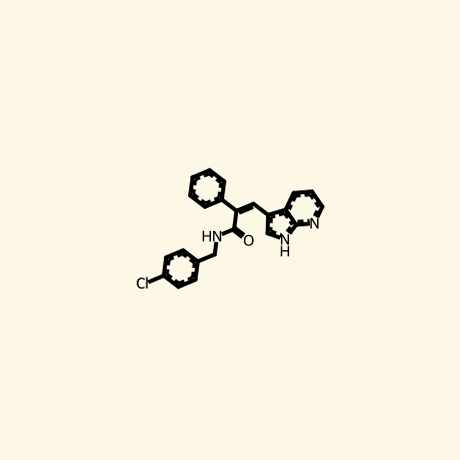 O=C(NCc1ccc(Cl)cc1)C(=Cc1c[nH]c2ncccc12)c1ccccc1